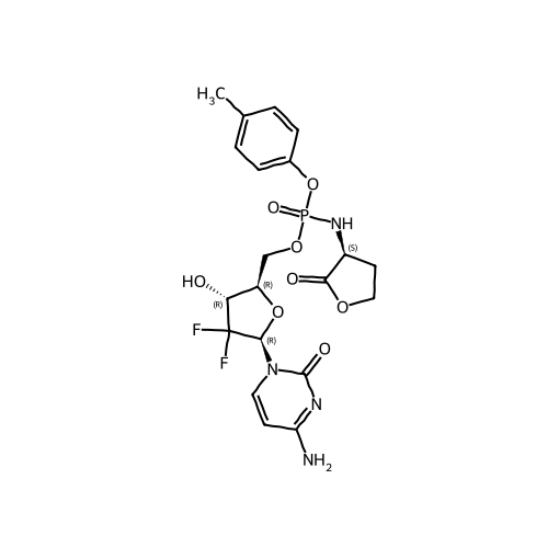 Cc1ccc(OP(=O)(N[C@H]2CCOC2=O)OC[C@H]2O[C@@H](n3ccc(N)nc3=O)C(F)(F)[C@@H]2O)cc1